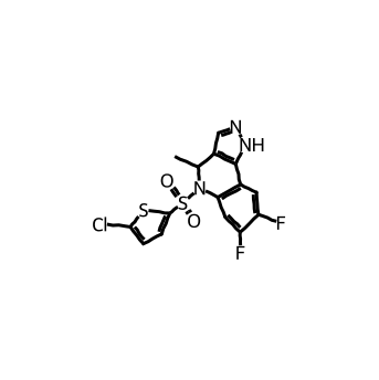 CC1c2cn[nH]c2-c2cc(F)c(F)cc2N1S(=O)(=O)c1ccc(Cl)s1